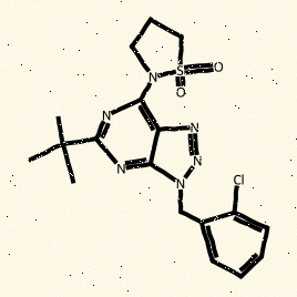 CC(C)(C)c1nc(N2CCCS2(=O)=O)c2nnn(Cc3ccccc3Cl)c2n1